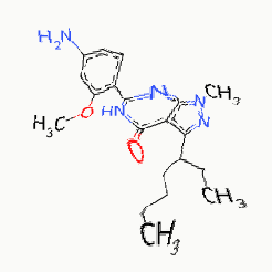 CCCCC(CC)c1nn(C)c2nc(-c3ccc(N)cc3OC)[nH]c(=O)c12